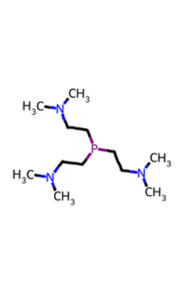 CN(C)CCP(CCN(C)C)CCN(C)C